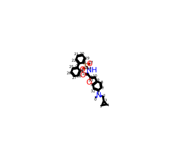 CN(CC1CC1)c1ccc2cc(C(=O)NS(=O)(=O)c3ccccc3-c3ccccc3)oc2c1